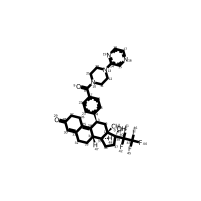 C[C@]12C[C@H](c3ccc(C(=O)N4CCN(c5cnccn5)CC4)cc3)C3=C4CCC(=O)C=C4CC[C@H]3[C@@H]1CC[C@]2(O)C(F)(F)C(F)(F)F